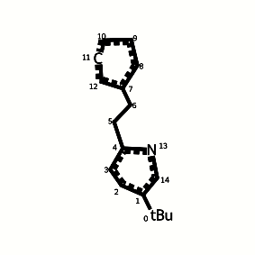 CC(C)(C)c1ccc(CCc2ccccc2)nc1